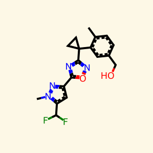 Cc1ccc(CO)cc1C1(c2noc(-c3cc(C(F)F)n(C)n3)n2)CC1